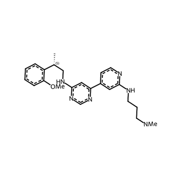 CNCCCNc1cc(-c2cc(NC[C@@H](C)c3ccccc3OC)ncn2)ccn1